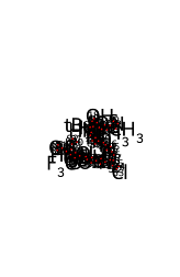 Cc1ncsc1-c1ccc([C@H](C)NC(=O)[C@@H]2C[C@@H](O)CN2C(=O)[C@@H](NC(=O)CN2C3CCC34C2CN4CC(=O)N2CCN(CC3(C)CCC(c4ccc(Cl)cc4)=C(CN4CCN(c5ccc(C(=O)NS(=O)(=O)c6ccc(N[C@H](CCN7CCOCC7)CSc7ccccc7)c(S(=O)(=O)C(F)(F)F)c6)cc5)CC4)C3)CC2)C(C)(C)C)cc1